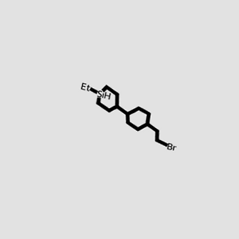 CC[SiH]1CCC(C2CCC(CCBr)CC2)CC1